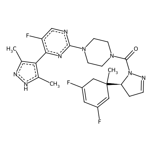 Cc1n[nH]c(C)c1-c1nc(N2CCN(C(=O)N3N=CC[C@H]3C3(C)C=C(F)C=C(F)C3)CC2)ncc1F